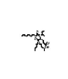 CCCCCCCC(=O)N(C(C)CC)[C@@H](CCC(=O)O)C(=O)N(CCCC)CCCC